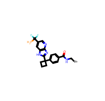 CC(C)CNC(=O)c1ccc(C2(c3nc4ncc(C(F)(F)P)cc4[nH]3)CCC2)cc1